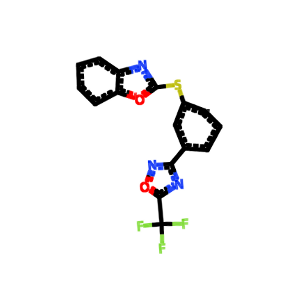 FC(F)(F)c1nc(-c2cc[c]c(Sc3nc4ccccc4o3)c2)no1